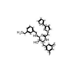 CCc1cccc(CNC[C@H](O)[C@H](Cc2cc(F)cc(F)c2)NC(=O)Cn2ccc(-c3cccs3)n2)c1